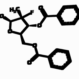 C[C@]1(F)[C@H](O)O[C@H](COC(=O)c2ccccc2)[C@H]1OC(=O)c1ccccc1